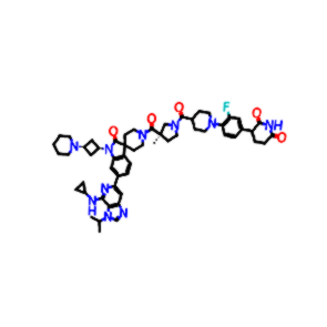 CC(C)n1cnc2cc(-c3ccc4c(c3)N([C@H]3C[C@@H](N5CCCCC5)C3)C(=O)C43CCN(C(=O)[C@]4(C)CCN(C(=O)C5CCN(c6ccc(C7CCC(=O)NC7=O)cc6F)CC5)C4)CC3)nc(NC3CC3)c21